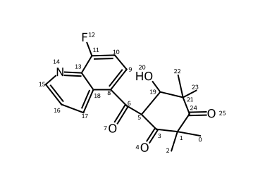 CC1(C)C(=O)C(C(=O)c2ccc(F)c3ncccc23)C(O)C(C)(C)C1=O